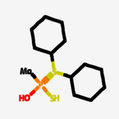 O[P](S)([Mo])=S(C1CCCCC1)C1CCCCC1